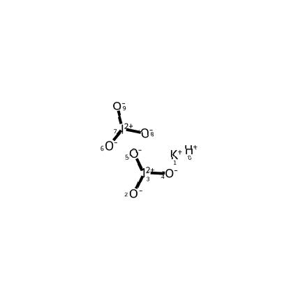 [H+].[K+].[O-][I+2]([O-])[O-].[O-][I+2]([O-])[O-]